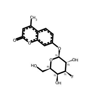 Cc1cc(=O)oc2cc(O[C@@H]3O[C@H](CO)[C@H](O)[C@H](F)[C@H]3O)ccc12